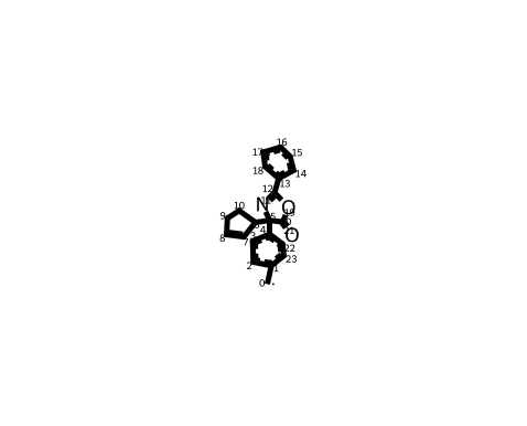 [CH2]c1ccc(C2(C3C=CCC3)N=C(c3ccccc3)OC2=O)cc1